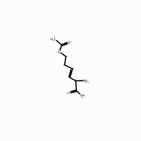 CC(=O)OCC/C=C/C(N)C(=O)O